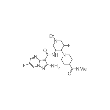 CCN1CC(F)C(N2CCC(C(=O)NC)CC2)C(NC(=O)c2c(N)nn3cc(F)cnc23)C1